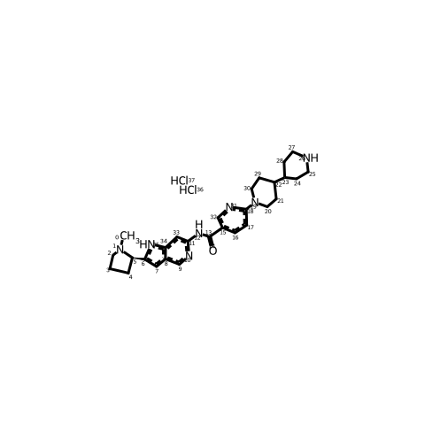 CN1CCC[C@@H]1c1cc2cnc(NC(=O)c3ccc(N4CCC(C5CCNCC5)CC4)nc3)cc2[nH]1.Cl.Cl